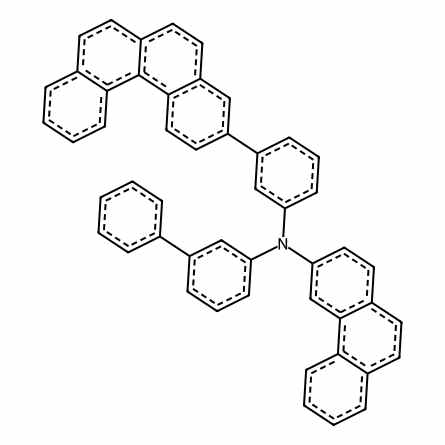 c1ccc(-c2cccc(N(c3cccc(-c4ccc5c(ccc6ccc7ccccc7c65)c4)c3)c3ccc4ccc5ccccc5c4c3)c2)cc1